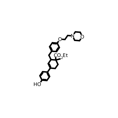 CCOC(=O)C1(C)CCC(c2ccc(O)cc2)=CC1Cc1ccc(OCCN2CCOCC2)cc1